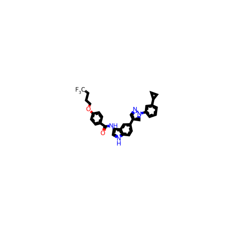 O=C(Nc1c[nH]c2ccc(-c3cnn(-c4cccc(C5CC5)c4)c3)cc12)c1ccc(OCCCC(F)(F)F)cc1